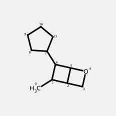 CC1C2COC2C1C1CCCC1